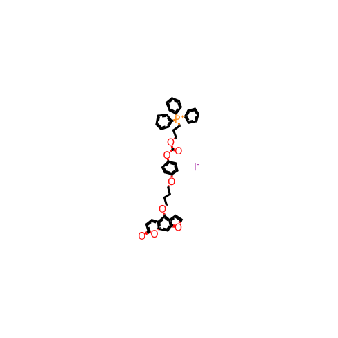 O=C(OCCC[P+](c1ccccc1)(c1ccccc1)c1ccccc1)Oc1ccc(OCCCCOc2c3ccoc3cc3oc(=O)ccc23)cc1.[I-]